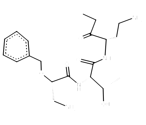 CCC(=O)[C@H](CCN)NC(=O)[C@@H](NC(=O)[C@H](CN)OCc1ccccc1)[C@H](C)O